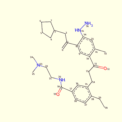 C=C(CC1CCCC1)c1cc(C(=O)CCc2cc(C(=O)NCCN(C)C)ccc2CC)c(C)cc1NN